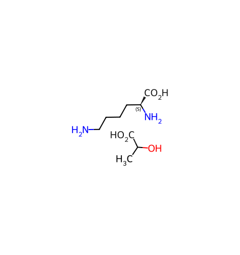 CC(O)C(=O)O.NCCCC[C@H](N)C(=O)O